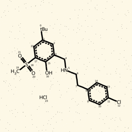 CC(C)(C)c1cc(CNCCc2ccc(Cl)cc2)c(O)c(S(C)(=O)=O)c1.Cl